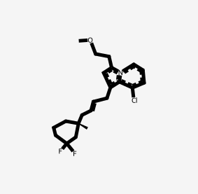 COCCc1cc(C/C=C/C[C@@]2(C)CCCC(F)(F)C2)c2c(Cl)cccn12